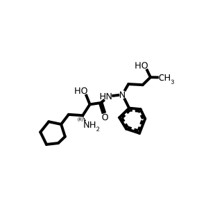 CC(O)CCN(NC(=O)C(O)[C@H](N)CC1CCCCC1)c1ccccc1